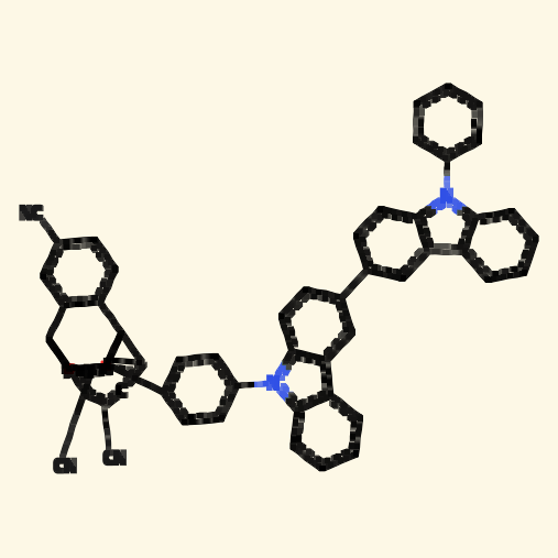 N#Cc1ccc2c(c1)C1c3cc(C#N)cc(-c4ccc(-n5c6ccccc6c6cc(-c7ccc8c(c7)c7ccccc7n8-c7ccccc7)ccc65)cc4)c3C23c2cc(C#N)cc1c23